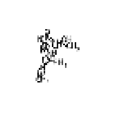 C=CC(O)N1CCC[C@@H](Cn2c(=O)cnc3cnc(Nc4ccc(N5CCN(C)CC5)cc4OC)nc32)C1